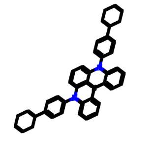 c1ccc2c(c1)B1c3ccccc3N(c3ccc(C4CCCCC4)cc3)c3cccc(c31)N2c1ccc(C2CCCCC2)cc1